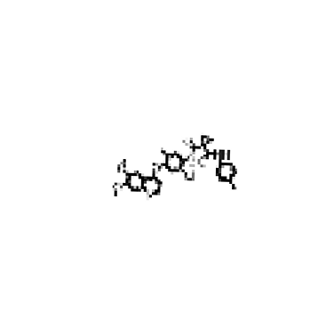 COc1cc2nccc(Oc3cc(Cl)c(NC(=O)C4(C(=O)Nc5ccc(C)cc5)CC4)cc3C)c2cc1OC